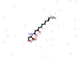 CCCCC=CCCCCCC(=O)CC(=O)N[C@H]1CCOC1=O